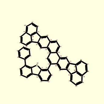 c1ccc(-c2cccc3c2sc2c(-c4cc5c6cc7c(cc6ccc5c5cc6c(cc45)-c4cccc5cccc-6c45)-c4cccc5cccc-7c45)cccc23)cc1